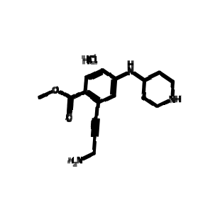 COC(=O)c1ccc(NC2CCNCC2)cc1C#CCN.Cl